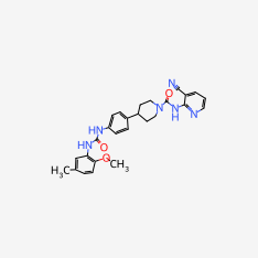 COc1ccc(C)cc1NC(=O)Nc1ccc(C2CCN(C(=O)Nc3ncccc3C#N)CC2)cc1